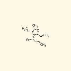 C=C/C=C(\c1c(C=C)oc(C)c1C=C)C(C)C